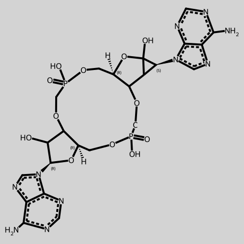 Nc1ncnc2c1ncn2[C@@H]1O[C@@H]2COP(=O)(O)COC3C4[C@H](n5cnc6c(N)ncnc65)C4(O)O[C@@H]3COP(=O)(O)COC2C1O